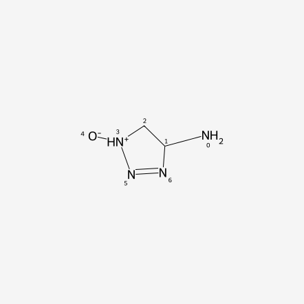 NC1C[NH+]([O-])N=N1